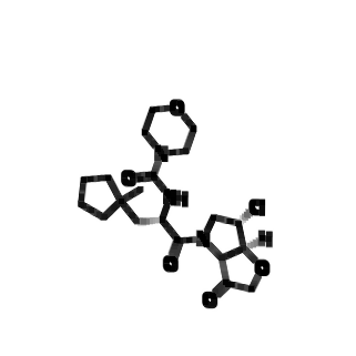 CC1(C[C@H](NC(=O)N2CCOCC2)C(=O)N2C[C@H](Cl)[C@H]3OCC(=O)C32)CCCC1